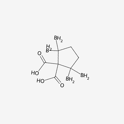 BC1(B)CCC(B)(B)C1(C(=O)O)C(=O)O